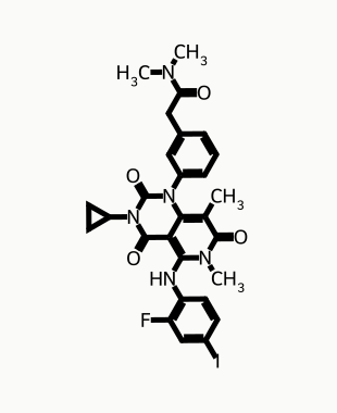 Cc1c(=O)n(C)c(Nc2ccc(I)cc2F)c2c(=O)n(C3CC3)c(=O)n(-c3cccc(CC(=O)N(C)C)c3)c12